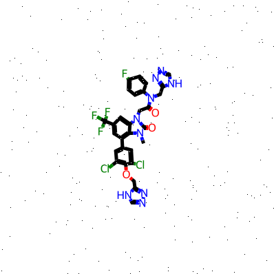 Cn1c(=O)n(CC(=O)N(Cc2nnc[nH]2)c2ccc(F)cc2)c2cc(C(F)(F)F)cc(-c3cc(Cl)c(OCc4nnc[nH]4)c(Cl)c3)c21